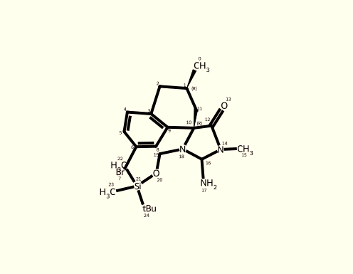 C[C@@H]1Cc2ccc(Br)cc2[C@]2(C1)C(=O)N(C)C(N)N2CO[Si](C)(C)C(C)(C)C